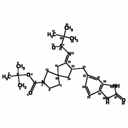 CC(C)(C)OC(=O)N1CCC2(CC(=N[S+]([O-])C(C)(C)C)C(Cc3ccc4[nH]c(=O)[nH]c4c3)C2)C1